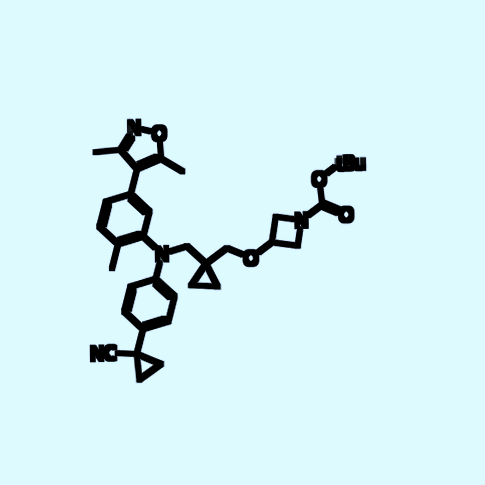 Cc1ccc(-c2c(C)noc2C)cc1N(CC1(COC2CN(C(=O)OC(C)(C)C)C2)CC1)c1ccc(C2(C#N)CC2)cc1